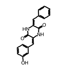 O=c1[nH]c(=Cc2cccc(O)c2)c(=O)[nH]c1=Cc1ccccc1